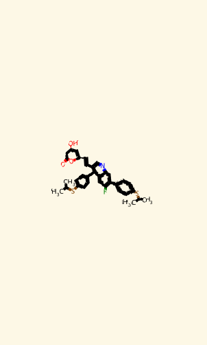 CC(C)Sc1ccc(-c2cc3ncc(/C=C/[C@@H]4C[C@@H](O)CC(=O)O4)c(-c4ccc(SC(C)C)cc4)c3cc2F)cc1